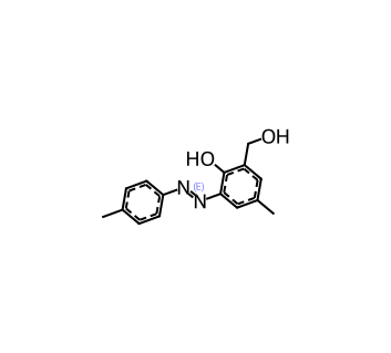 Cc1ccc(/N=N/c2cc(C)cc(CO)c2O)cc1